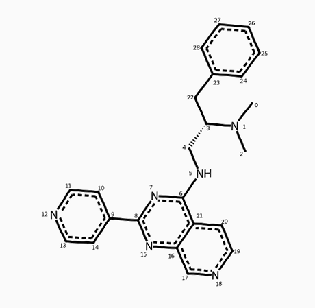 CN(C)[C@H](CNc1nc(-c2ccncc2)nc2cnccc12)Cc1ccccc1